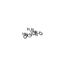 Nc1cc(N2CCc3c([nH]c4ccccc34)C2)cc2nc(-c3ccccc3)nn12